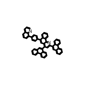 c1cnc2c(-c3ccc(-c4cc5c(-c6cc7ccccc7c7ccccc67)cc(-c6cc7ccccc7c7ccccc67)nc5c5ccccc45)cc3)cccc2c1